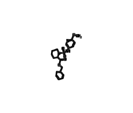 COc1ccc(NS(=O)(=O)N2CCCCC2C(=O)OCc2ccccc2)cn1